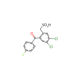 O=C(c1ccc(F)cc1)c1cc(Cl)c(Cl)cc1CS(=O)(=O)O